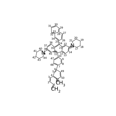 C=C/C=C\c1cc(-c2ccc(-c3c4ccc(N5CCCCC5)cc4c(-c4ccc5ccccc5c4)c4ccc(N5CCCCC5)cc34)cc2)ccc1C